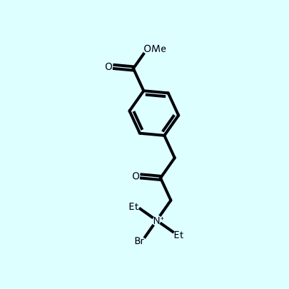 CC[N+](Br)(CC)CC(=O)Cc1ccc(C(=O)OC)cc1